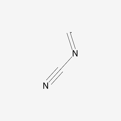 [CH]=NC#N